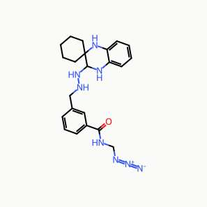 [N-]=[N+]=NCNC(=O)c1cccc(CNNC2Nc3ccccc3NC23CCCCC3)c1